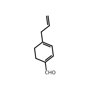 C=CCC1=CC=C(C=O)CC1